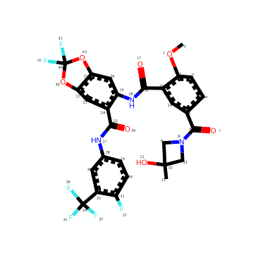 COc1ccc(C(=O)N2CC(C)(O)C2)cc1C(=O)Nc1cc2c(cc1C(=O)Nc1ccc(F)c(C(F)(F)F)c1)OC(F)(F)O2